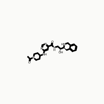 CC(=O)N1CCC(Nc2cc(C(=O)NC[C@@H](O)[C@@H]3Cc4ccccc4CN3)ncn2)CC1